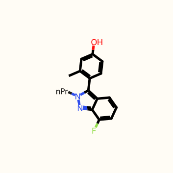 CCCn1nc2c(F)cccc2c1-c1ccc(O)cc1C